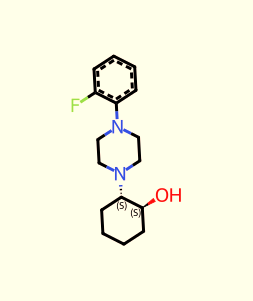 O[C@H]1CCCC[C@@H]1N1CCN(c2ccccc2F)CC1